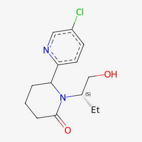 CC[C@@H](CO)N1C(=O)CCCC1c1ccc(Cl)cn1